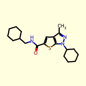 Cc1nn(C2CCCCC2)c2sc(C(=O)NCC3CCCCC3)cc12